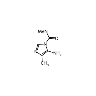 CNC(=O)n1cnc(C)c1N